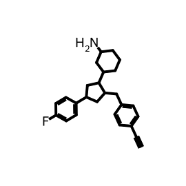 C#Cc1ccc(CC2CC(c3ccc(F)cc3)CC2C2CCCC(N)C2)cc1